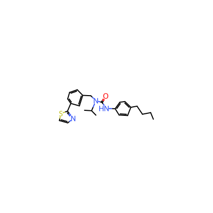 CCCCc1ccc(NC(=O)N(Cc2cccc(-c3nccs3)c2)C(C)C)cc1